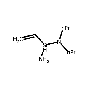 C=C[SiH](N)N(CCC)CCC